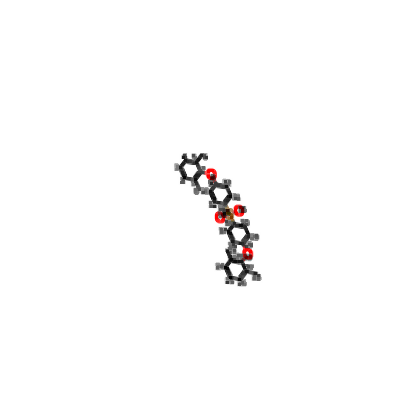 Cc1cccc(C)c1Oc1ccc(S(=O)(=O)c2ccc(Oc3c(C)cccc3C)cc2)cc1